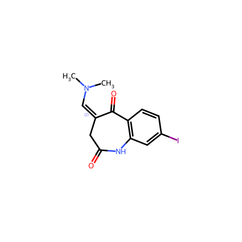 CN(C)/C=C1/CC(=O)Nc2cc(I)ccc2C1=O